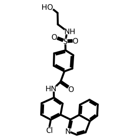 O=C(Nc1ccc(Cl)c(-c2nccc3ccccc23)c1)c1ccc(S(=O)(=O)NCCO)cc1